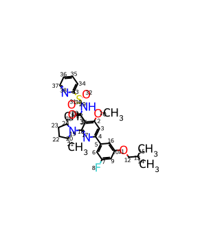 COc1cc(-c2cc(F)cc(OCC(C)C)c2)nc(N2[C@H](C)CC[C@@H]2C)c1C(=O)NS(=O)(=O)c1ccccn1